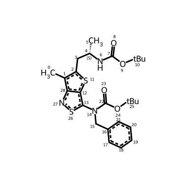 Cc1c(C[C@H](C)NC(=O)OC(C)(C)C)sc2c(N(Cc3ccccc3)C(=O)OC(C)(C)C)snc12